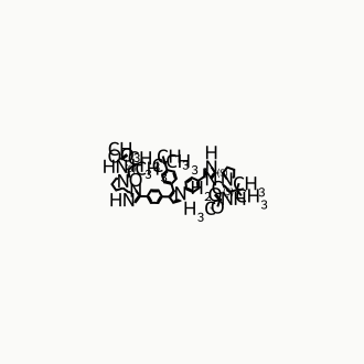 C=C([C@@H](NC(=O)OC)C(C)C)N1CCC[C@H]1c1nc(-c2ccc(-n3ccc(-c4ccc(-c5c[nH]c(C6CCCN6C(=O)[C@@H](NC(=O)OC)C(C)C)n5)cc4)c3-c3ccc(C(C)(C)C)cc3)cc2)c[nH]1